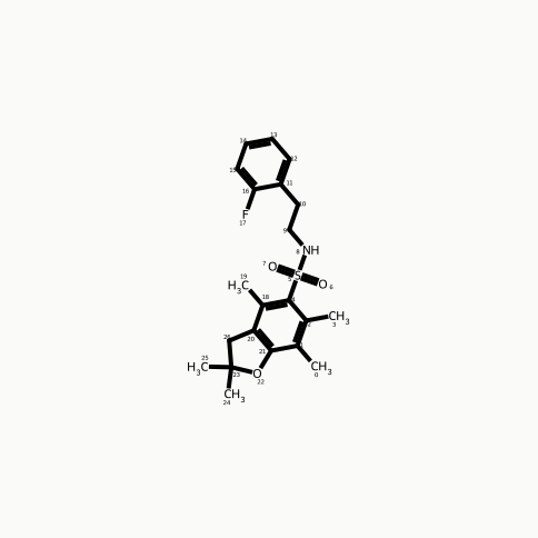 Cc1c(C)c(S(=O)(=O)NCCc2ccccc2F)c(C)c2c1OC(C)(C)C2